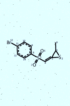 CC1S/C1=C/S(=O)(=O)c1ccc(Br)cc1